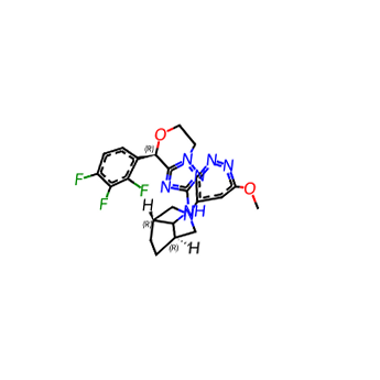 COc1cc(N2C[C@H]3CC[C@H](C2)C3Nc2nc3n(n2)CCO[C@@H]3c2ccc(F)c(F)c2F)cnn1